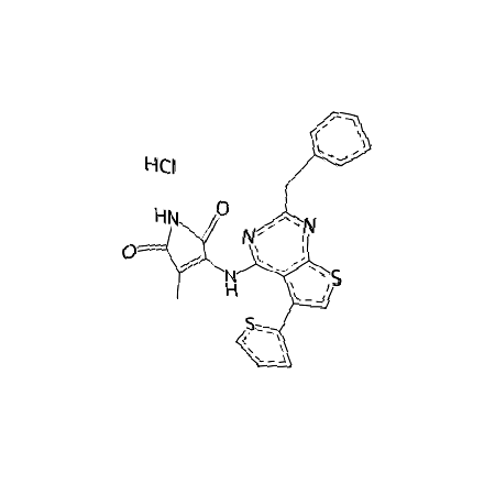 CC1=C(Nc2nc(Cc3ccccc3)nc3scc(-c4cccs4)c23)C(=O)NC1=O.Cl